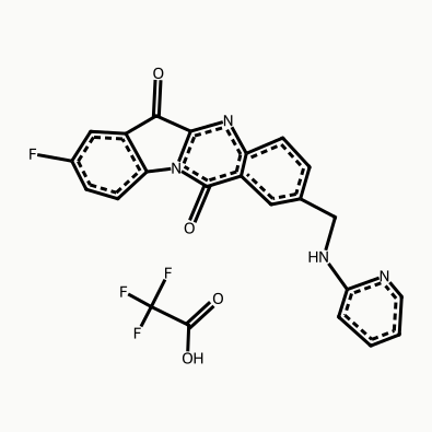 O=C(O)C(F)(F)F.O=C1c2cc(F)ccc2-n2c1nc1ccc(CNc3ccccn3)cc1c2=O